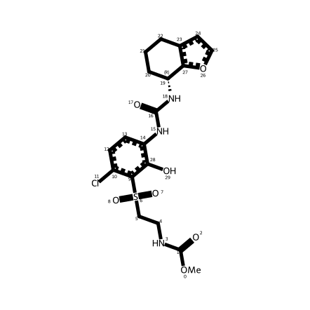 COC(=O)NCCS(=O)(=O)c1c(Cl)ccc(NC(=O)N[C@@H]2CCCc3ccoc32)c1O